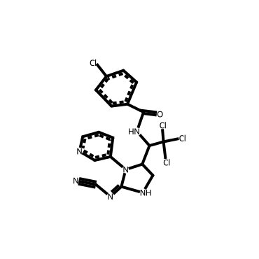 N#CN=C1NCC(C(NC(=O)c2ccc(Cl)cc2)C(Cl)(Cl)Cl)N1c1cccnc1